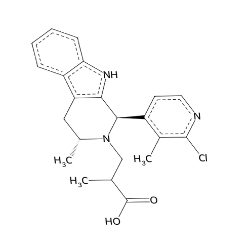 Cc1c([C@@H]2c3[nH]c4ccccc4c3C[C@@H](C)N2CC(C)C(=O)O)ccnc1Cl